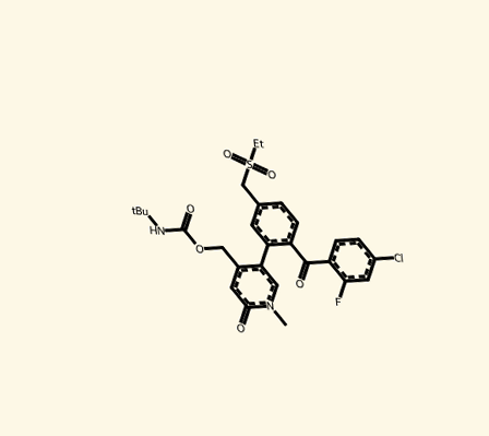 CCS(=O)(=O)Cc1ccc(C(=O)c2ccc(Cl)cc2F)c(-c2cn(C)c(=O)cc2COC(=O)NC(C)(C)C)c1